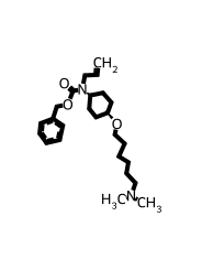 C=CCN(C(=O)OCc1ccccc1)[C@H]1CC[C@H](OCCCCCCN(C)C)CC1